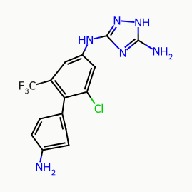 Nc1ccc(-c2c(Cl)cc(Nc3n[nH]c(N)n3)cc2C(F)(F)F)cc1